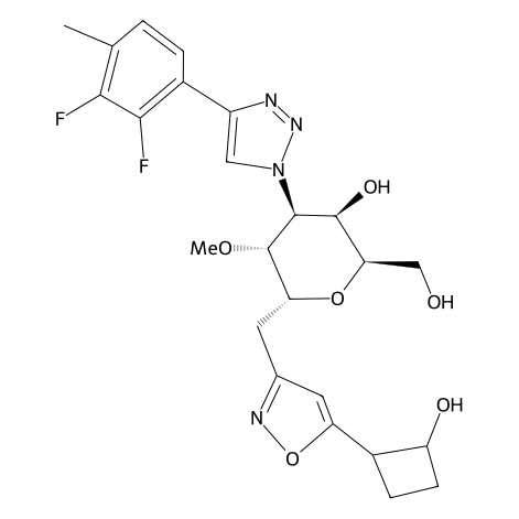 CO[C@@H]1[C@@H](n2cc(-c3ccc(C)c(F)c3F)nn2)[C@@H](O)[C@@H](CO)O[C@@H]1Cc1cc(C2CCC2O)on1